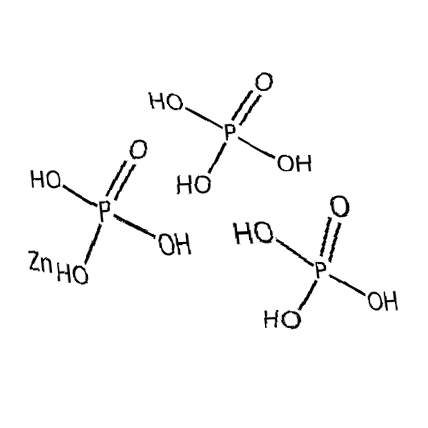 O=P(O)(O)O.O=P(O)(O)O.O=P(O)(O)O.[Zn]